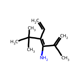 C=C/C(=C(/N)C(=C)C)C(C)(C)C